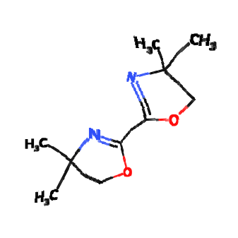 CC1(C)COC(C2=NC(C)(C)CO2)=N1